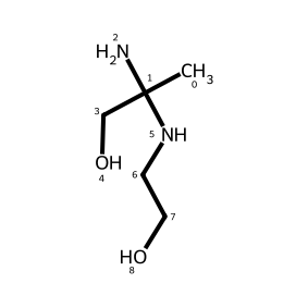 CC(N)(CO)NCCO